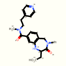 CC(C)N1Cc2ccc(C(=O)N(C)CCc3ccncc3)cc2NC(CC(=O)O)C1=O